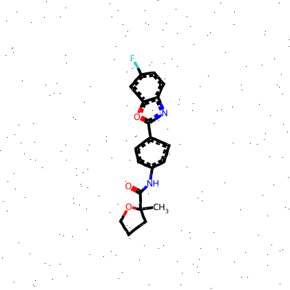 CC1(C(=O)Nc2ccc(-c3nc4ccc(F)cc4o3)cc2)CCCO1